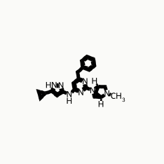 CN1C[C@@H]2C[C@H]1CN2c1nc(Cc2ccccc2)cc(Nc2cc(C3CC3)[nH]n2)n1